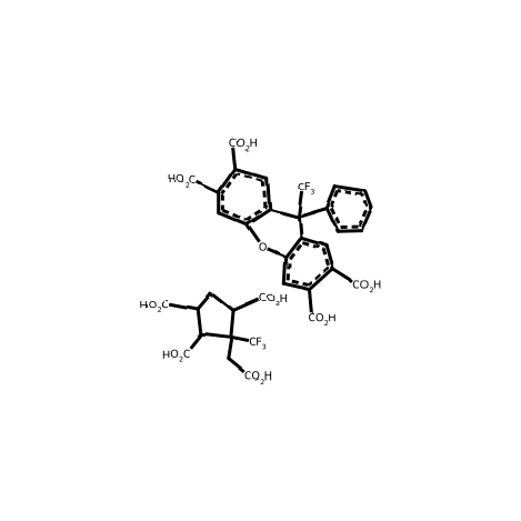 O=C(O)CC1(C(F)(F)F)C(C(=O)O)CC(C(=O)O)C1C(=O)O.O=C(O)c1cc2c(cc1C(=O)O)C(c1ccccc1)(C(F)(F)F)c1cc(C(=O)O)c(C(=O)O)cc1O2